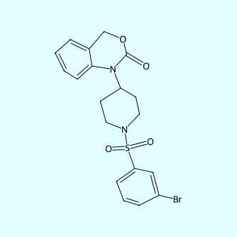 O=C1OCc2ccccc2N1C1CCN(S(=O)(=O)c2cccc(Br)c2)CC1